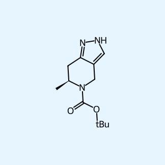 C[C@H]1Cc2n[nH]cc2CN1C(=O)OC(C)(C)C